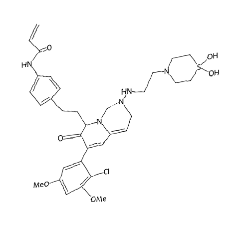 C=CC(=O)Nc1ccc(CCC2C(=O)C(c3cc(OC)cc(OC)c3Cl)=CC3=CCN(NCCN4CCS(O)(O)CC4)CN32)cc1